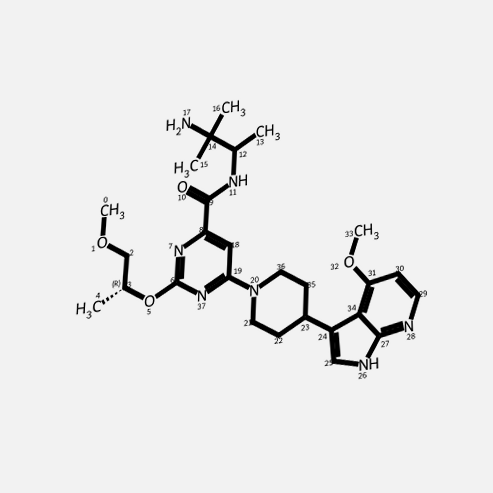 COC[C@@H](C)Oc1nc(C(=O)NC(C)C(C)(C)N)cc(N2CCC(c3c[nH]c4nccc(OC)c34)CC2)n1